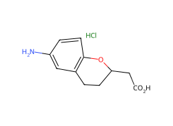 Cl.Nc1ccc2c(c1)CCC(CC(=O)O)O2